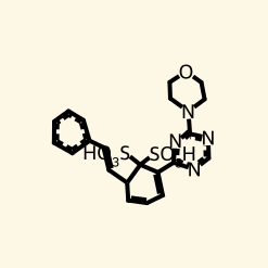 O=S(=O)(O)C1(S(=O)(=O)O)C(c2ncnc(N3CCOCC3)n2)=CC=CC1C=Cc1ccccc1